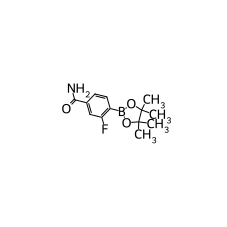 CC1(C)OB(c2ccc(C(N)=O)cc2F)OC1(C)C